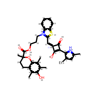 CCc1cc(C)[nH]c1C1=C([O-])/C(=C/c2sc3ccccc3[n+]2CCCOC(=O)C2(C)CCc3c(C)c(O)c(C)c(C)c3O2)C1=O